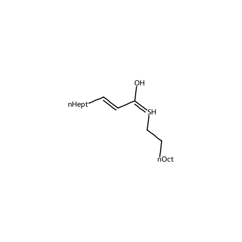 CCCCCCC/C=C/C(O)=[SH]\CCCCCCCCCC